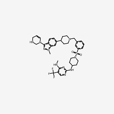 CNc1nc(NC2CCN(S(=O)(=O)c3cccc(CN4CCC(c5ccc6c(N7C=CCNC7)nn(C)c6c5)CC4)c3)CC2)ncc1C(F)(F)F